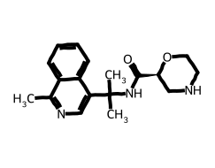 Cc1ncc(C(C)(C)NC(=O)[C@@H]2CNCCO2)c2ccccc12